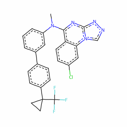 CN(c1cccc(-c2ccc(C3(C(F)(F)F)CC3)cc2)c1)c1nc2nncn2c2cc(Cl)ccc12